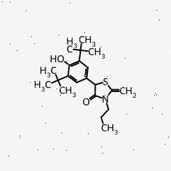 C=C1SC(c2cc(C(C)(C)C)c(O)c(C(C)(C)C)c2)C(=O)N1CCC